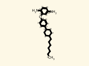 CCCCCCCC1CCC(c2ccc(Oc3cc(N)ccc3N)cc2)CC1